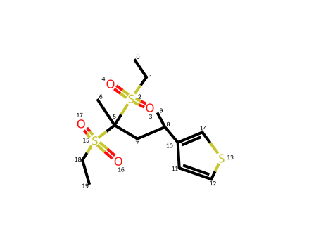 CCS(=O)(=O)C(C)(CC(C)c1ccsc1)S(=O)(=O)CC